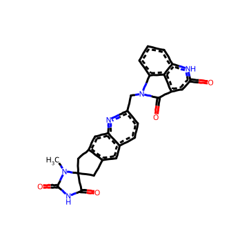 CN1C(=O)NC(=O)C12Cc1cc3ccc(CN4C(=O)c5cc(=O)[nH]c6cccc4c56)nc3cc1C2